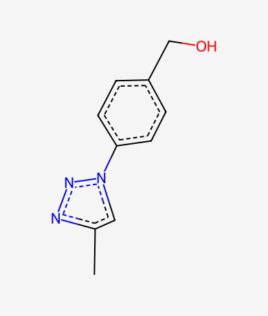 Cc1cn(-c2ccc(CO)cc2)nn1